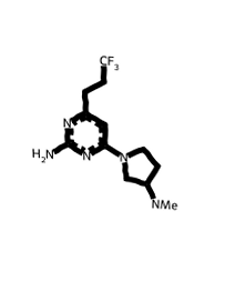 CNC1CCN(c2cc(CCC(F)(F)F)nc(N)n2)C1